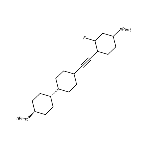 CCCCCC1CCC(C#CC2CCC([C@H]3CC[C@H](CCCCC)CC3)CC2)C(F)C1